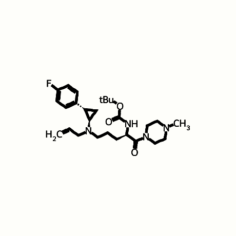 C=CCN(CCC[C@@H](NC(=O)OC(C)(C)C)C(=O)N1CCN(C)CC1)[C@@H]1C[C@H]1c1ccc(F)cc1